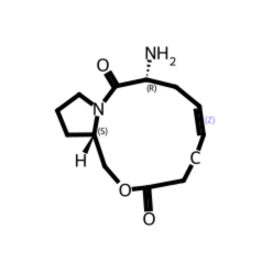 N[C@@H]1C/C=C\CCC(=O)OC[C@@H]2CCCN2C1=O